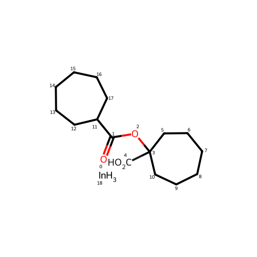 O=C(OC1(C(=O)O)CCCCCC1)C1CCCCCC1.[InH3]